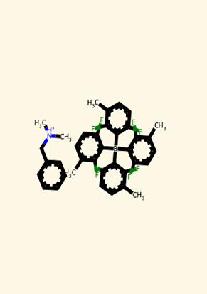 C[NH+](C)Cc1ccccc1.Cc1ccc(F)c([B-](c2c(F)ccc(C)c2F)(c2c(F)ccc(C)c2F)c2c(F)ccc(C)c2F)c1F